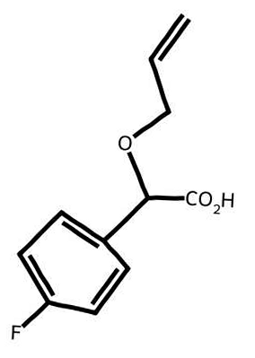 C=CCOC(C(=O)O)c1ccc(F)cc1